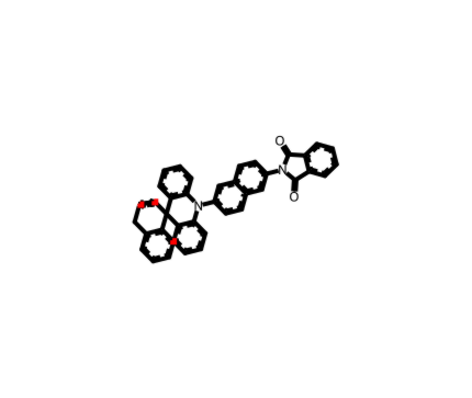 O=C1c2ccccc2C(=O)N1c1ccc2cc(N3c4ccccc4C4(c5ccccc5Cc5ccccc54)c4ccccc43)ccc2c1